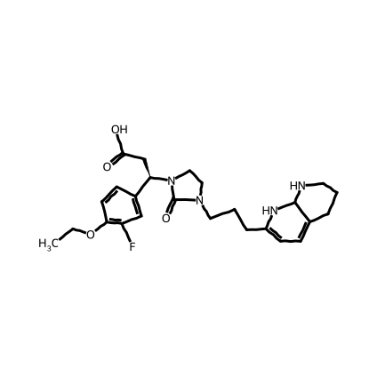 CCOc1ccc([C@@H](CC(=O)O)N2CCN(CCCC3=CC=C4CCCNC4N3)C2=O)cc1F